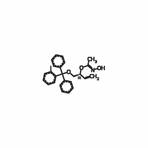 C=C[C@@H](COC(c1ccccc1)(c1ccccc1)c1ccccc1I)OC(C)=NO